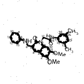 COc1cc2cc(CNc3ccccc3)c(=O)n(CC(=O)Nc3cc(C)cc(C)c3)c2cc1OC